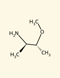 CO[C@H](C)[C@@H](C)N